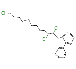 ClCCCCCCCCCC(Cl)C(Cl)Cc1ccccc1-c1ccccc1